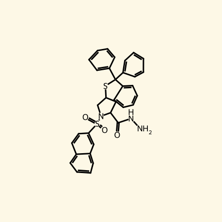 NNC(=O)C1CC(SC(c2ccccc2)(c2ccccc2)c2ccccc2)CN1S(=O)(=O)c1ccc2ccccc2c1